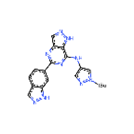 CC(C)(C)n1cc(Nc2nc(-c3ccc4cn[nH]c4c3)nc3cn[nH]c23)cn1